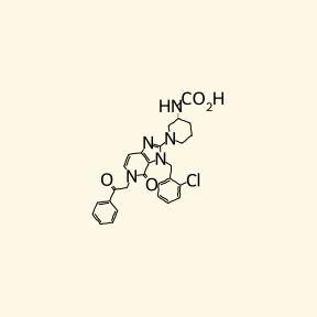 O=C(O)N[C@@H]1CCCN(c2nc3ccn(CC(=O)c4ccccc4)c(=O)c3n2Cc2ccccc2Cl)C1